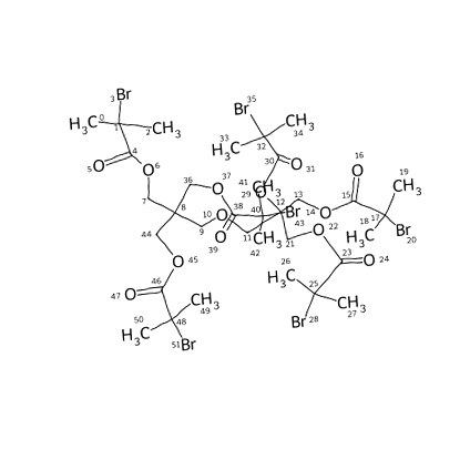 CC(C)(Br)C(=O)OCC(COCC(COC(=O)C(C)(C)Br)(COC(=O)C(C)(C)Br)OC(=O)C(C)(C)Br)(COC(=O)C(C)(C)Br)COC(=O)C(C)(C)Br